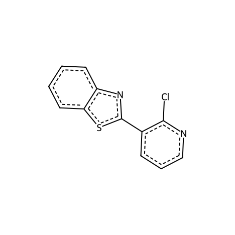 Clc1ncccc1-c1nc2ccccc2s1